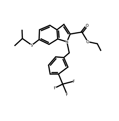 CCOC(=O)c1cc2ccc(SC(C)C)cc2n1Cc1cccc(C(F)(F)F)c1